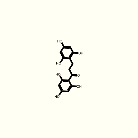 O=C(CCc1c(O)cc(O)cc1O)c1c(O)cc(O)cc1O